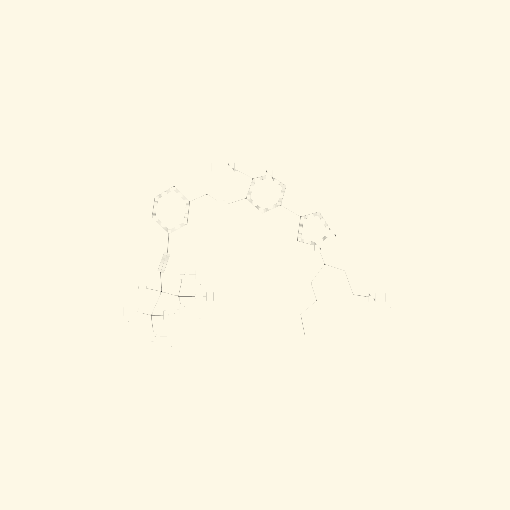 BC(B)(B)C(O)(C#Cc1cccc(COc2cc(-c3cnn(C(CCN)CCCC)c3)cnc2N)c1)C(B)(B)O